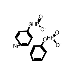 O=[PH]([O-])Oc1ccccc1.O=[PH]([O-])Oc1ccccc1.[Ni+2]